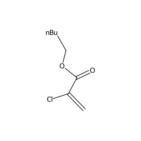 [CH2]CCCCOC(=O)C(=C)Cl